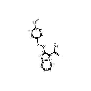 COc1ccc(COc2nc3ccccn3c2C(=O)O)cc1